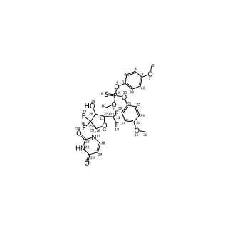 COc1ccc(OP(=S)(OC[C@]2(C(F)F)O[C@H](n3ccc(=O)[nH]c3=O)C(F)(F)C2O)Oc2ccc(OC)cc2)cc1